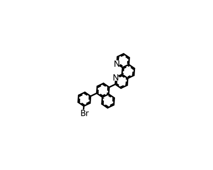 Brc1cccc(-c2ccc(-c3ccc4ccc5cccnc5c4n3)c3ccccc23)c1